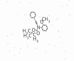 COc1ccccc1N(C#Cc1ccccc1)C(=O)OC(C)(C)C